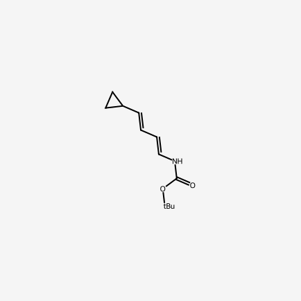 CC(C)(C)OC(=O)NC=CC=CC1CC1